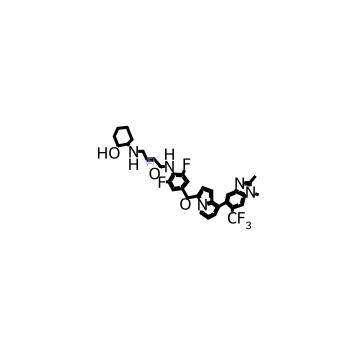 Cc1nc2cc(-c3cccn4c(C(=O)c5cc(F)c(NC(=O)/C=C/CNC6CCCCC6O)c(F)c5)ccc34)c(C(F)(F)F)cc2n1C